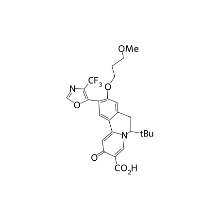 COCCCOc1cc2c(cc1-c1ocnc1C(F)(F)F)-c1cc(=O)c(C(=O)O)cn1C(C(C)(C)C)C2